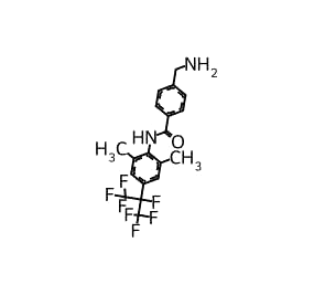 Cc1cc(C(F)(C(F)(F)F)C(F)(F)F)cc(C)c1NC(=O)c1ccc(CN)cc1